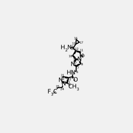 Cc1c(C(=O)NCc2cn3ncc(C(N)C4CC4)cc3n2)cnn1CCC(F)(F)F